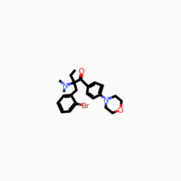 CCC(Cc1ccccc1Br)(C(=O)c1ccc(N2CCOCC2)cc1)N(C)C